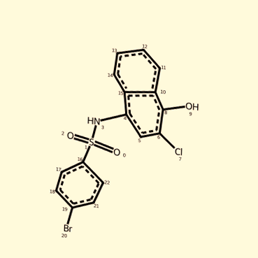 O=S(=O)(Nc1cc(Cl)c(O)c2ccccc12)c1ccc(Br)cc1